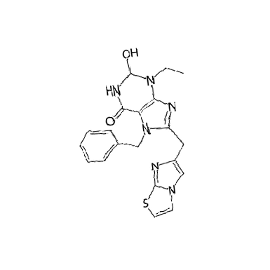 CCN1c2nc(Cc3cn4ccsc4n3)n(Cc3ccccc3)c2C(=O)NC1O